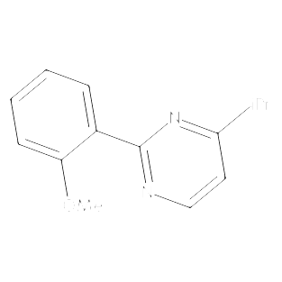 COc1ccccc1-c1nccc(C(C)C)n1